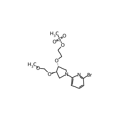 COCO[C@@H]1CN(c2cccc(Br)n2)C[C@H]1OCCOS(C)(=O)=O